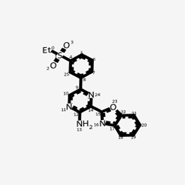 CCS(=O)(=O)c1cccc(-c2cnc(N)c(-c3nc4ccccc4o3)n2)c1